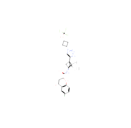 C[C@@H]1C2(NC(=O)[C@H]3C[C@@H](O)c4cc(Cl)ccc4O3)CC1(c1cn([C@H]3C[C@@H](OC(F)(F)F)C3)nn1)C2